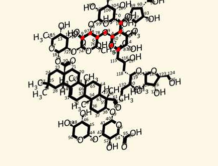 CC[C@H](C)[C@H](C[C@H](O)CC(=O)O[C@H]1[C@@H](O)[C@@H](C)O[C@@H](OC(=O)[C@]23CCC(C)(C)C[C@H]2C2=CCC4[C@@]5(C)CC[C@H](O[C@H]6C[C@@H](O[C@H]7C[C@@H](O)[C@H](O)CO7)[C@H](O)[C@@H](C(=O)O)O6)[C@@](C)(C=O)[C@@H]5CC[C@@]4(C)[C@]2(C)CC3)[C@@H]1O[C@@H]1O[C@@H](C)[C@H](O[C@@H]2OC[C@@H](O)[C@H](O[C@@H]3OC[C@H](CO)[C@H]3O)[C@H]2O)[C@@H](O[C@@H]2O[C@H](CO)[C@@H](O)[C@H](O)[C@H]2O)[C@H]1O)OC(=O)C[C@@H](O)C[C@H](O[C@@H]1O[C@@H](CO)[C@H](O)[C@H]1O)[C@@H](C)CC